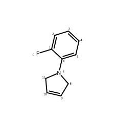 Fc1ccccc1N1CC=CC1